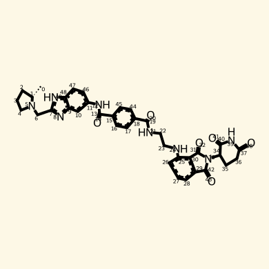 C[C@H]1CCCN1Cc1nc2cc(NC(=O)c3ccc(C(=O)NCCNc4cccc5c4C(=O)N(C4CCC(=O)NC4=O)C5=O)cc3)ccc2[nH]1